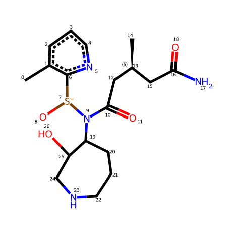 Cc1cccnc1[S+]([O-])N(C(=O)C[C@@H](C)CC(N)=O)C1CCCNCC1O